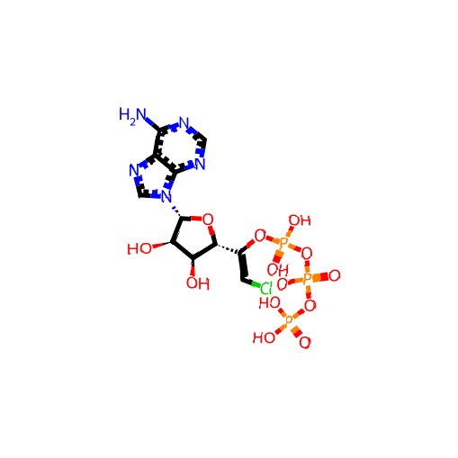 Nc1ncnc2c1ncn2[C@@H]1O[C@H](C(=CCl)OP(=O)(O)OP(=O)(O)OP(=O)(O)O)[C@@H](O)[C@H]1O